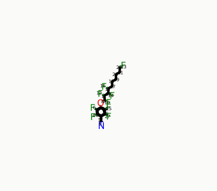 N#Cc1c(F)c(F)c(OC(F)C(F)C(F)C(F)CCCCCCF)c(F)c1F